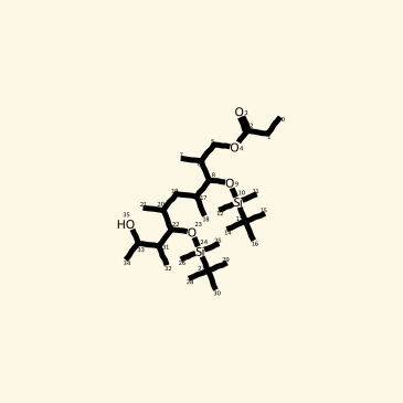 CCC(=O)OCC(C)C(O[Si](C)(C)C(C)(C)C)C(C)CC(C)C(O[Si](C)(C)C(C)(C)C)C(C)C(C)O